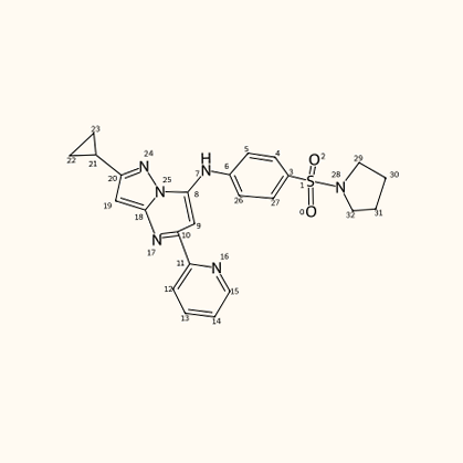 O=S(=O)(c1ccc(Nc2cc(-c3ccccn3)nc3cc(C4CC4)nn23)cc1)N1CCCC1